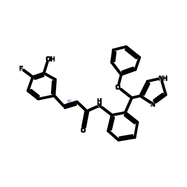 O=C(/C=C/c1ccc(F)c(O)c1)Nc1ccccc1C(Oc1ccccc1)c1c[nH]cn1